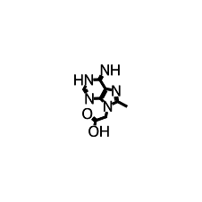 Cc1nc2c(=N)[nH]cnc2n1CC(=O)O